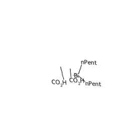 CC(=O)O.CC(=O)O.CCCC[CH2][Bi][CH2]CCCC